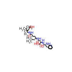 CC(C)C[C@H](CCCC(=O)NC[C@@](C)(CCO)C(C)C)NC(=O)C[C@H](NC(=O)C(N)Cc1ccccc1)C(=O)O